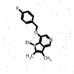 CCn1c(C)c(C)c2cncc(OCc3ccc(F)cc3)c21